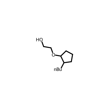 CCCCC1CCCC1OCCO